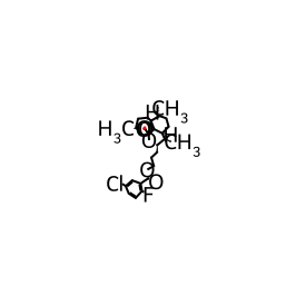 C[C@H]1[C@@H](CCCOC(=O)c2cc(Cl)ccc2F)OC2O[C@]3(C)CC[C@H]4[C@H](C)CC[C@@H]1[C@@]24OO3